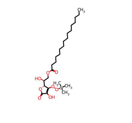 CCCCCCCCCCCCCCCC(=O)OC[C@H](O)[C@H]1OC(=O)C(O)=C1OO[Si](C)(C)C